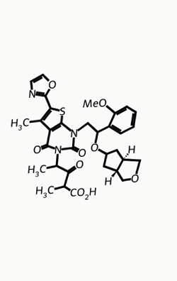 COc1ccccc1C(Cn1c(=O)n(C(C)C(=O)C(C)C(=O)O)c(=O)c2c(C)c(-c3ncco3)sc21)OC1C[C@H]2COC[C@@H]2C1